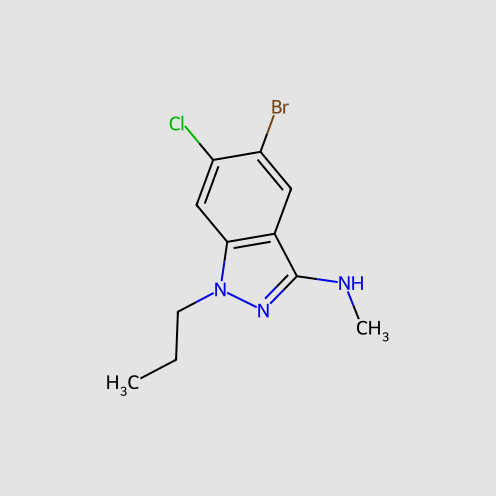 CCCn1nc(NC)c2cc(Br)c(Cl)cc21